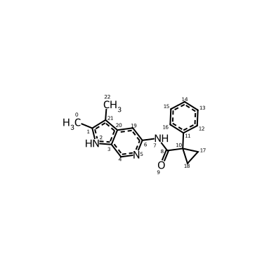 Cc1[nH]c2cnc(NC(=O)C3(c4ccccc4)CC3)cc2c1C